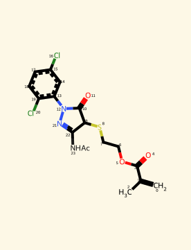 C=C(C)C(=O)OCCSC1C(=O)N(c2cc(Cl)ccc2Cl)N=C1NC(C)=O